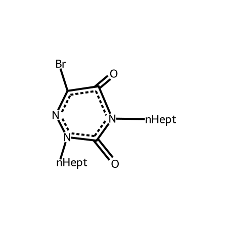 CCCCCCCn1nc(Br)c(=O)n(CCCCCCC)c1=O